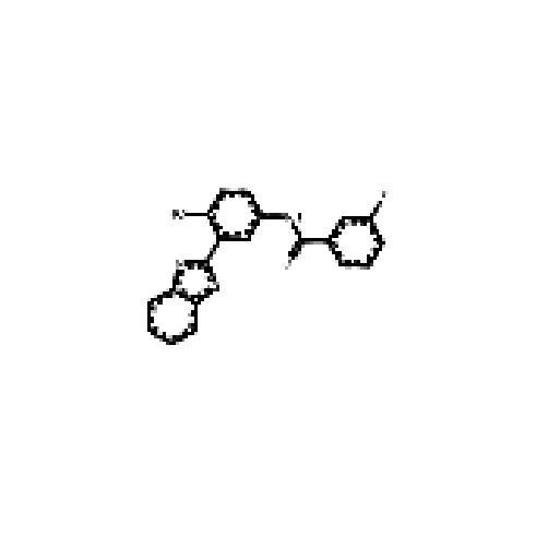 O=C(Nc1ccc(O)c(-c2nc3ccccc3s2)c1)c1cccc(F)c1